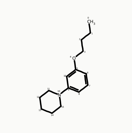 CCCCOc1cccc(N2CCCCC2)c1